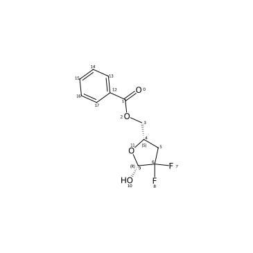 O=C(OC[C@@H]1CC(F)(F)[C@H](O)O1)c1ccccc1